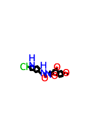 COc1ccc2c(c1)C(=O)CC1(CN(C(=O)NCc3ccc4[nH]c(Cl)cc4c3)C1)O2